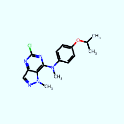 CC(C)Oc1ccc(N(C)c2nc(Cl)nc3cnn(C)c23)cc1